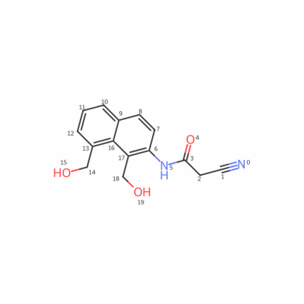 N#CCC(=O)Nc1ccc2cccc(CO)c2c1CO